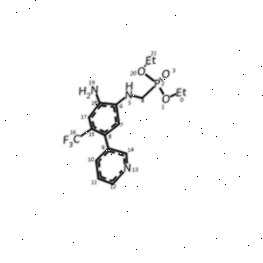 CCOP(=O)(CNc1cc(-c2cccnc2)c(C(F)(F)F)cc1N)OCC